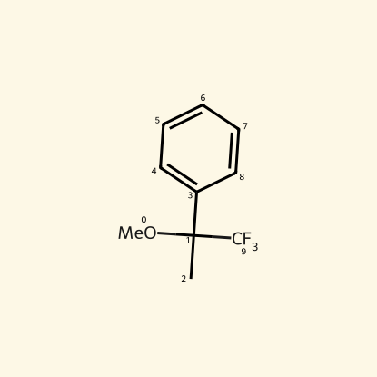 COC(C)(c1ccccc1)C(F)(F)F